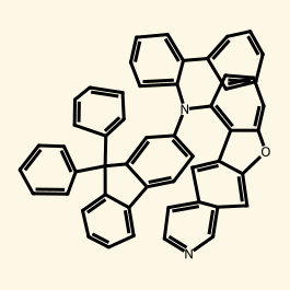 c1ccc(-c2ccccc2N(c2ccc3c(c2)C(c2ccccc2)(c2ccccc2)c2ccccc2-3)c2cccc3oc4cc5cnccc5cc4c23)cc1